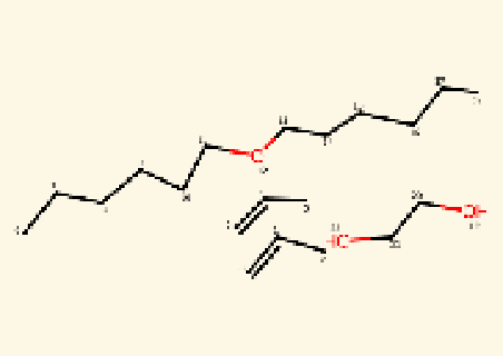 C=CC.C=CC.CCCCCCOCCCCCC.OCCO